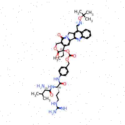 CC[C@@]1(OC(=O)OCc2ccc(NC(=O)[C@H](CCCNC(=N)N)NC(=O)[C@@H](N)C(C)C)cc2)C(=O)OCc2c1cc1n(c2=O)Cc2c-1nc1ccccc1c2/C=N/OC(C)(C)C